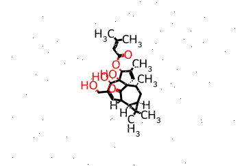 CC(C)=CC(=O)O[C@H]1C(C)=C[C@]23C(=O)[C@@H](C=C(CO)[C@@H](O)[C@]12O)[C@H]1[C@@H](C[C@H]3C)C1(C)C